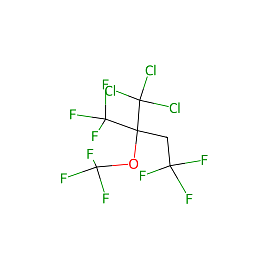 FC(F)(F)CC(OC(F)(F)F)(C(F)(F)F)C(Cl)(Cl)Cl